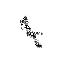 COc1cc2c(Oc3ccc(NC(=O)Nc4ccsc4)c(Cl)c3)ncnc2cc1OCCCN1CCC2(CC1)COC2